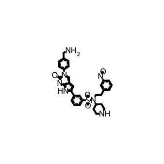 NCc1ccc(-n2cc3cc(-c4cccc(S(=O)(=O)N(CCc5cccc(N=O)c5)C5CCNCC5)c4)[nH]c3nc2=O)cc1